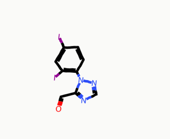 O=Cc1ncnn1-c1ccc(I)cc1I